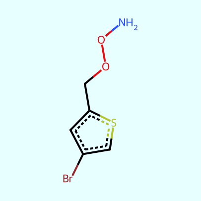 NOOCc1cc(Br)cs1